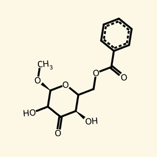 CO[C@H]1OC(COC(=O)c2ccccc2)[C@@H](O)C(=O)C1O